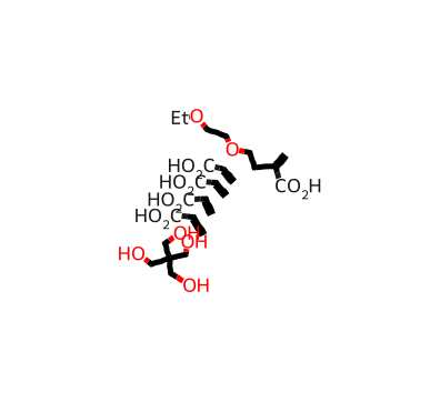 C=C(CCOCCOCC)C(=O)O.C=CC(=O)O.C=CC(=O)O.C=CC(=O)O.C=CC(=O)O.OCC(CO)(CO)CO